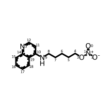 O=[N+]([O-])OCCCCCNc1ccnc2ccccc12